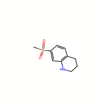 CS(=O)(=O)c1ccc2c(c1)NCCC2